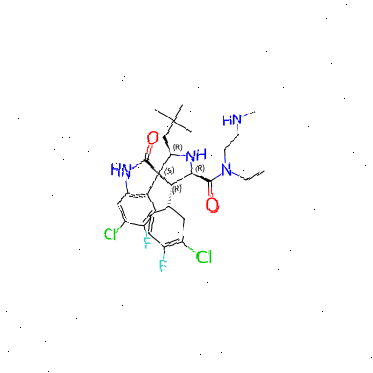 CCN(CCNC)C(=O)[C@@H]1N[C@H](CC(C)(C)C)[C@]2(C(=O)Nc3cc(Cl)c(F)cc32)[C@H]1C1C=CC(F)=C(Cl)C1